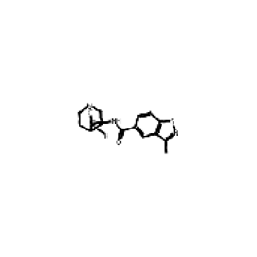 Cc1nsc2ccc(C(=O)N[C@H]3CN4CCC3CC4)cc12